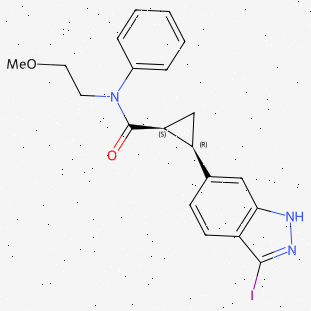 COCCN(C(=O)[C@H]1C[C@H]1c1ccc2c(I)n[nH]c2c1)c1ccccc1